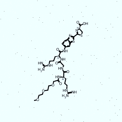 COCCOCCOCC(=O)N[C@H](CCCNC(=N)N)C(=O)NCC(=O)N[C@@H](CCCNC(=N)N)C(=O)Nc1ccc2nc(C3=N[C@@H](C(=O)O)CS3)sc2c1